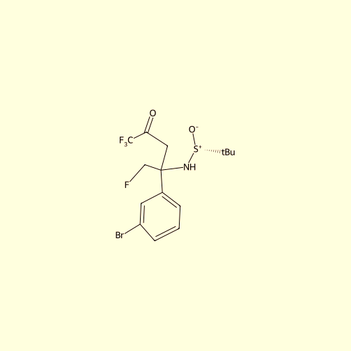 CC(C)(C)[S@@+]([O-])NC(CF)(CC(=O)C(F)(F)F)c1cccc(Br)c1